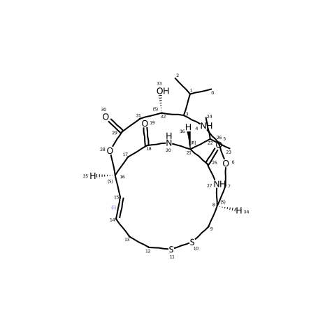 CC(C)C1NCOC[C@H]2CSSCC/C=C/[C@H](CC(=O)N[C@H](C(C)C)C(=O)N2)OC(=O)C[C@@H]1O